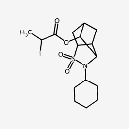 CC(I)C(=O)OC1C2CC3C1N(C1CCCCC1)S(=O)(=O)C3C2